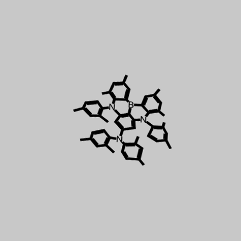 Cc1ccc(N(c2cc3c4c(c2)N(c2ccc(C)cc2C)c2c(C)cc(C)cc2B4c2cc(C)cc(C)c2N3c2ccc(C)cc2C)c2ccc(C)cc2C)c(C)c1